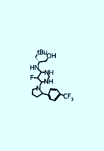 CC(C)(C)C[C@H](CO)NC1NCNC(N2CCCC2c2ccc(C(F)(F)F)cc2)C1F